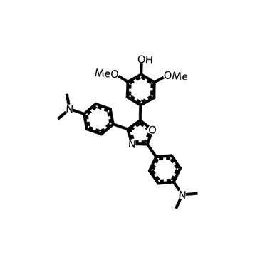 COc1cc(-c2oc(-c3ccc(N(C)C)cc3)nc2-c2ccc(N(C)C)cc2)cc(OC)c1O